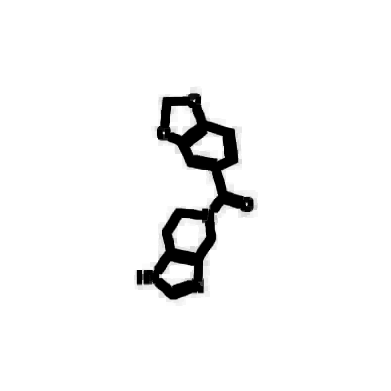 O=C(c1ccc2c(c1)OCO2)N1CCc2[nH]cnc2C1